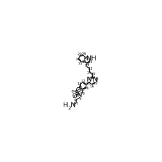 CS(=O)(=O)N(CCCN)Cc1cccc(-c2ccnc(CCCCC3=CNC4C=CC=CC34)n2)c1